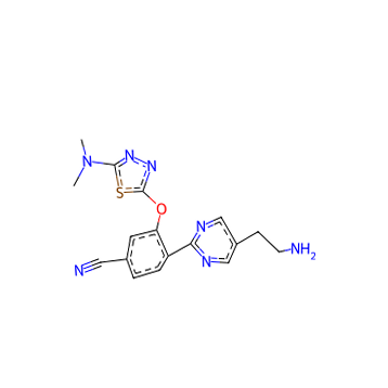 CN(C)c1nnc(Oc2cc(C#N)ccc2-c2ncc(CCN)cn2)s1